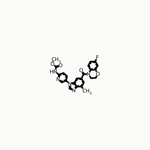 COC(=O)Nc1ccc(-n2cnc3c(C)cc(C(=O)N4CCOc5cc(F)ccc54)cc32)cn1